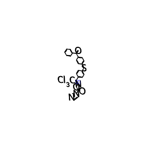 O=C(c1ccccc1)c1ccc(Sc2ccc(/C(=N/OC(=O)n3ccnc3)C(Cl)(Cl)Cl)cc2)cc1